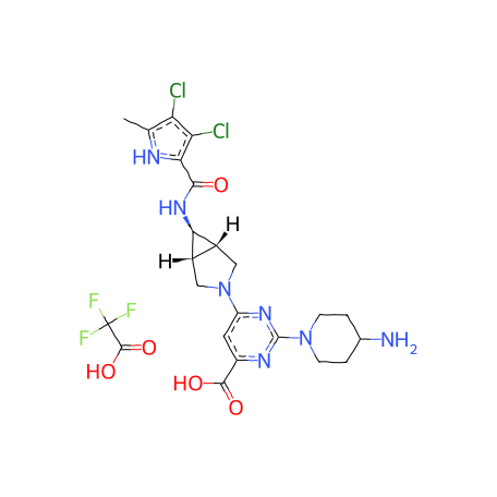 Cc1[nH]c(C(=O)N[C@H]2[C@@H]3CN(c4cc(C(=O)O)nc(N5CCC(N)CC5)n4)C[C@@H]32)c(Cl)c1Cl.O=C(O)C(F)(F)F